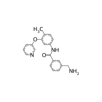 Cc1ccc(NC(=O)c2cccc(CN)c2)cc1Oc1cccnc1